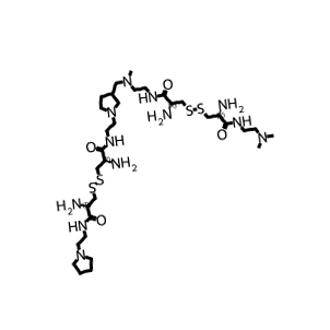 CN(C)CCNC(=O)[C@@H](N)CSSC[C@H](N)C(=O)NCCN(C)CC1CCN(CCNC(=O)[C@@H](N)CSSC[C@H](N)C(=O)NCCN2CCCC2)C1